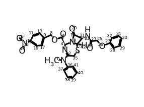 CN(C1=N[C@@H](C(=O)OCc2ccc([N+](=O)[O-])cc2)N2C(=O)[C@H](NC(=O)COc3ccccc3)[C@@H]2SC1)c1ccccc1